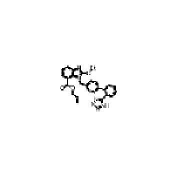 C=CCOC(=O)c1cccc2nc(OCC)n(Cc3ccc(-c4ccccc4-c4nnn[nH]4)cc3)c12